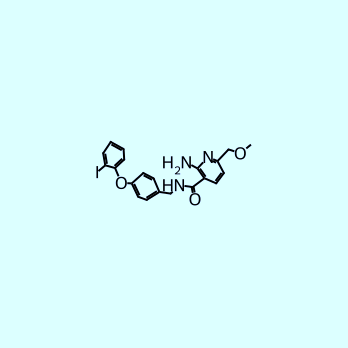 COCc1ccc(C(=O)NCc2ccc(Oc3ccccc3I)cc2)c(N)n1